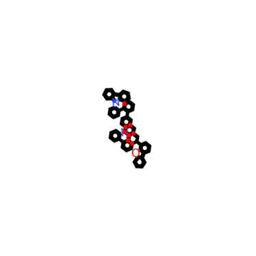 C1=CC(c2cccc3c2oc2ccccc23)CC=C1N(c1ccc(-c2ccccc2-c2ccccc2-n2c3ccccc3c3ccccc32)cc1)c1ccccc1-c1ccccc1-c1ccccc1